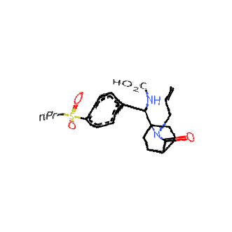 C=CCN1C(=O)C2CCC1(C(NC(=O)O)c1ccc(S(=O)(=O)CCC)cc1)CC2